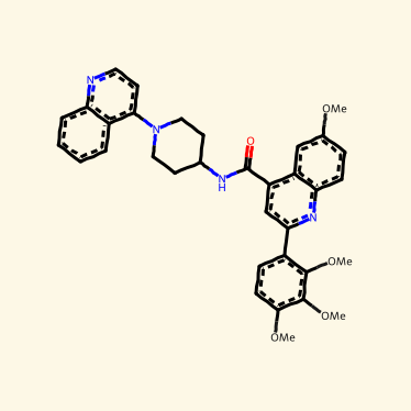 COc1ccc2nc(-c3ccc(OC)c(OC)c3OC)cc(C(=O)NC3CCN(c4ccnc5ccccc45)CC3)c2c1